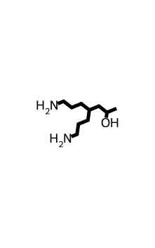 CC(O)CC(CCCN)CCCN